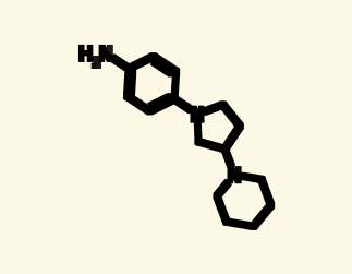 Nc1ccc(N2CCC(N3CCCCC3)C2)cc1